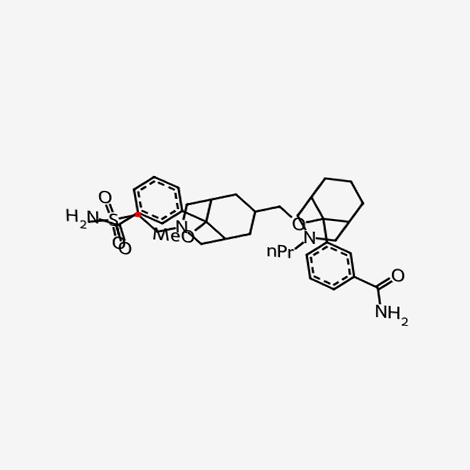 CCCN1CC2CCCC(C1)C2(OCC1CC2CN(CCS(C)(=O)=O)CC(C1)C2(OC)c1cccc(C(N)=O)c1)c1cccc(C(N)=O)c1